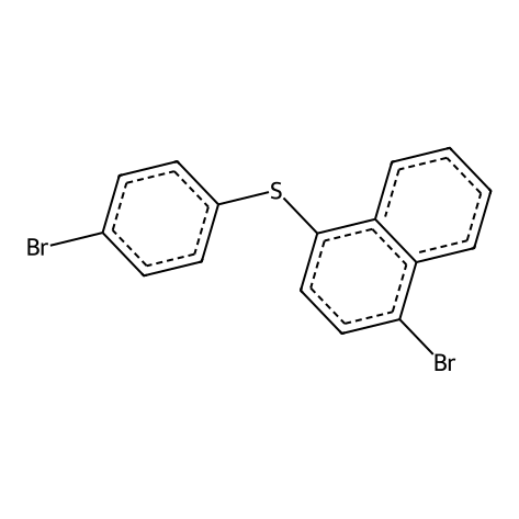 Brc1ccc(Sc2ccc(Br)c3ccccc23)cc1